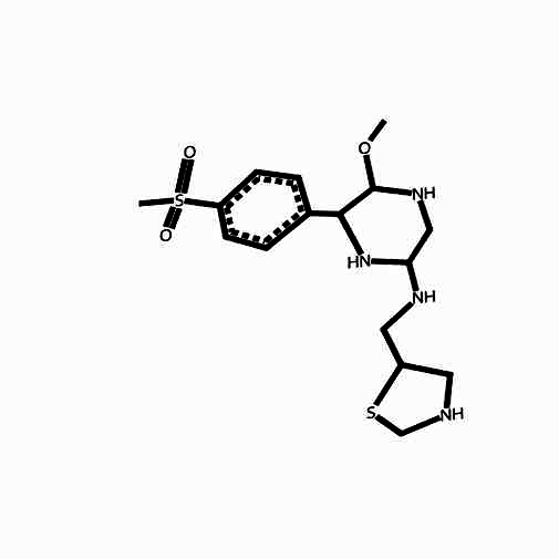 COC1NCC(NCC2CNCS2)NC1c1ccc(S(C)(=O)=O)cc1